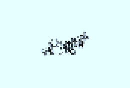 CCCn1c(OCc2cccc(C(=O)OCC)c2)nc2nc(C34CC5CC(C3)C(C5)C4)[nH]c2c1=O